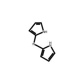 c1c[nH]c([N]c2ccc[nH]2)c1